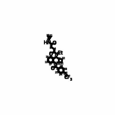 CCN(C(=O)CCC(=O)NC1CC1)C1c2ccccc2N(C(=O)c2ccc(SC(F)(F)F)cc2)C2CCC12